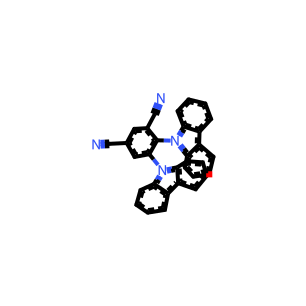 N#Cc1cc(C#N)c(-n2c3ccccc3c3ccccc32)c(-n2c3ccccc3c3ccccc32)c1